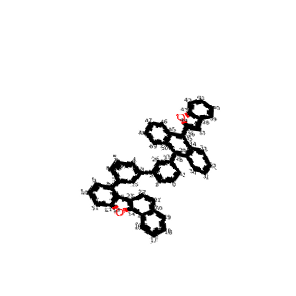 c1cc(-c2cccc(-c3cccc4oc5c6ccccc6ccc5c34)c2)cc(-c2c3ccccc3c(-c3cc4ccccc4o3)c3ccccc23)c1